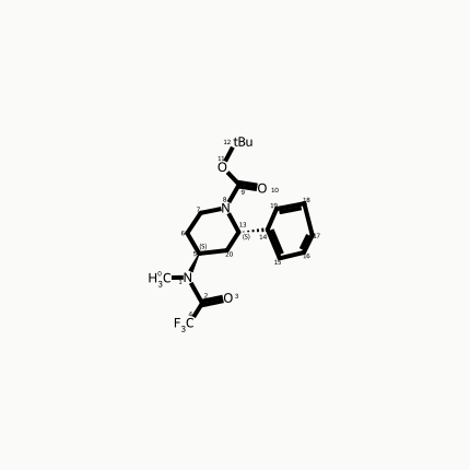 CN(C(=O)C(F)(F)F)[C@H]1CCN(C(=O)OC(C)(C)C)[C@H](c2ccccc2)C1